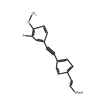 CCCCC/C=C/c1ccc(C#Cc2ccc(OC(F)(F)F)c(F)c2)cc1